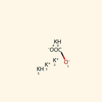 O=C([O-])[O-].[K+].[K+].[KH].[KH]